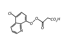 O=C(O)CC(=O)OOc1ccc(Cl)c2cccnc12